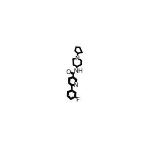 O=C(NC1CCN(C2CCCC2)CC1)c1ccc(-c2cccc(F)c2)nc1